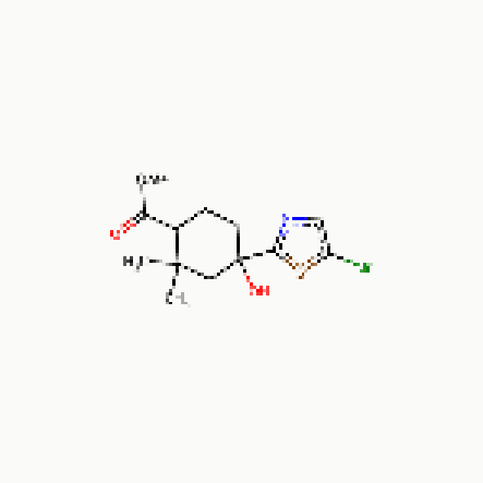 COC(=O)C1CCC(O)(c2ncc(Br)s2)CC1(C)C